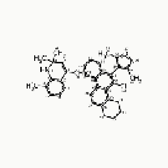 CC1=CC(C)(C)Nc2c(C)cccc21.Cc1noc(C)c1-c1c(Cl)c2c3c(ccc2c2ccccc12)CCCC3